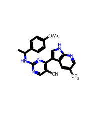 COc1ccc(C(C)Nc2ncc(C#N)c(-c3c[nH]c4ncc(C(F)(F)F)cc34)n2)cc1